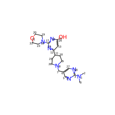 CN(C)c1ncc(CN2CCC(c3cc(O)nc(N4CCOCC4)n3)CC2)cn1